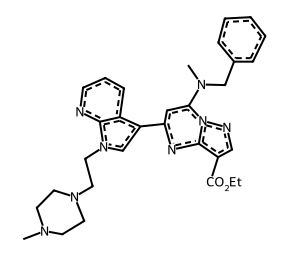 CCOC(=O)c1cnn2c(N(C)Cc3ccccc3)cc(-c3cn(CCN4CCN(C)CC4)c4ncccc34)nc12